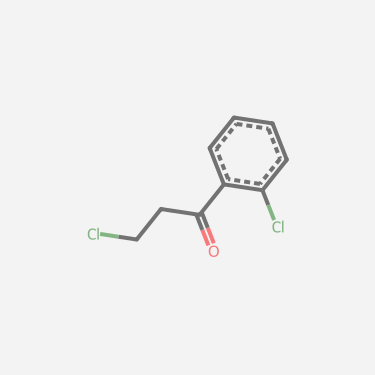 O=C(CCCl)c1ccccc1Cl